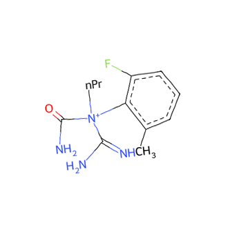 CCC[N+](C(=N)N)(C(N)=O)c1c(C)cccc1F